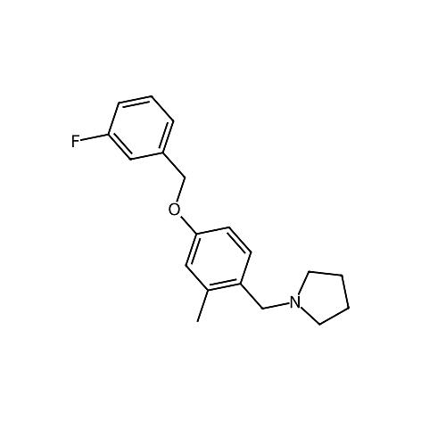 Cc1cc(OCc2cccc(F)c2)ccc1CN1CCCC1